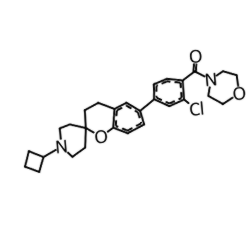 O=C(c1ccc(-c2ccc3c(c2)CCC2(CCN(C4CCC4)CC2)O3)cc1Cl)N1CCOCC1